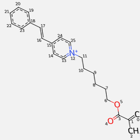 C=C(C)C(=O)OCCCCCC[n+]1ccc(/C=C/c2ccccc2)cc1